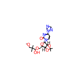 COCC(C)(C)C(O)OC[C@H]1O[C@@H](n2ccc(-n3cncn3)nc2=O)[C@@H]2OC(C)(C)O[C@@H]21